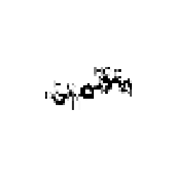 O=C1CC[C@@H](C(=O)Nc2ccc(-c3ncc(C(=O)n4ccnc4)c(O)n3)cc2)N1